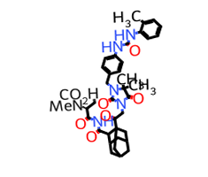 CN[C@@H](CC(=O)O)C(=O)NC(=O)C1C2CC3CC(C2)CC1(C(=O)CN1C(=O)N(Cc2ccc(NC(=O)Nc4ccccc4C)cc2)C(C)(C)C1=O)C3